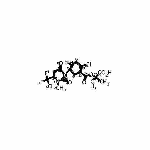 Cn1c(C(F)(F)Cl)cc(=O)n(-c2cc(C(=O)OC(C)(C)C(=O)O)c(Cl)cc2F)c1=O